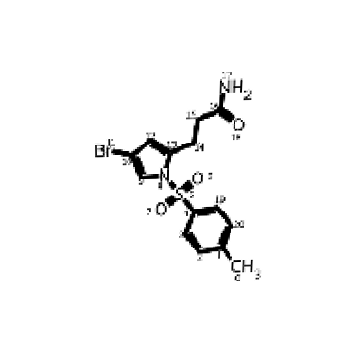 Cc1ccc(S(=O)(=O)n2cc(Br)cc2[CH]CC(N)=O)cc1